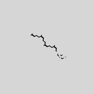 CCOP(=O)(COCC=C(C)CCC=C(C)CCC=C(C)CCC=C(C)C)CP(=O)(O)O